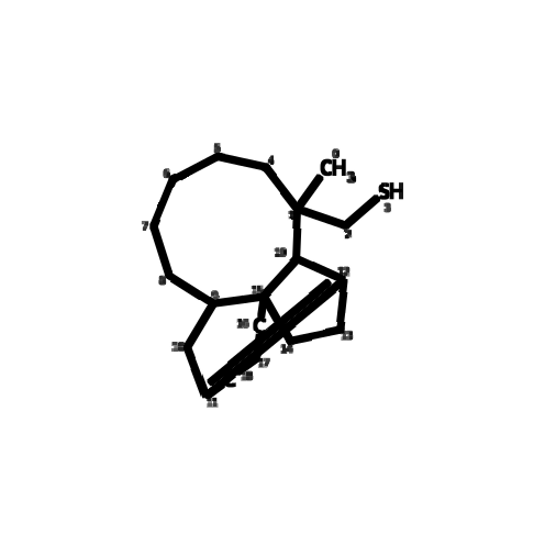 CC1(CS)CCCCCC2CC3=C4CCC2(CCC3)C41